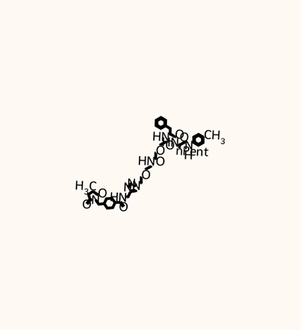 CCCCCC(NC(=O)C(Cc1ccccc1)NC(=O)COCC(=O)NCCOCCn1cc(CNC(=O)C2CCC(CN3C(=O)CC(C)C3=O)CC2)nn1)C(=O)Nc1ccc(C)cc1